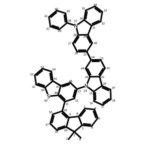 CC1(C)c2ccccc2-c2c(-c3cc(-n4c5ccccc5c5ccc(-c6ccc7c(c6)c6ccccc6n7-c6ccccc6)cc54)cc4c3sc3ccccc34)cccc21